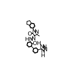 CC1=NN(c2ccc3c(c2)CCC3)C(=O)C1=NNc1cccc(-c2cccc(-c3nnn[nH]3)c2)c1O